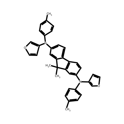 Cc1ccc(N(c2ccoc2)c2ccc3c(c2)C(C)(C)c2cc(N(c4ccc(C)cc4)c4ccoc4)ccc2-3)cc1